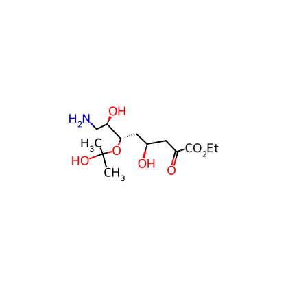 CCOC(=O)C(=O)C[C@@H](O)C[C@H](OC(C)(C)O)[C@H](O)CN